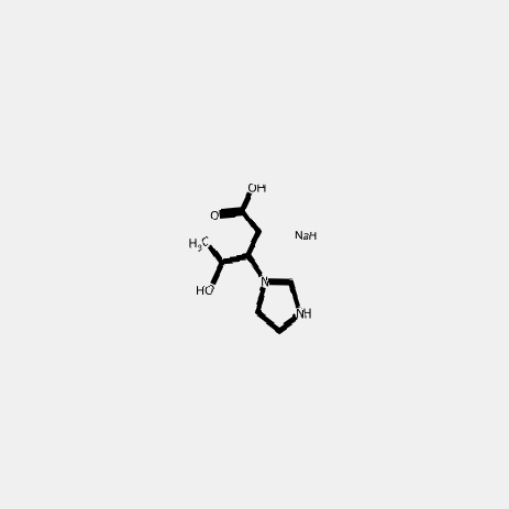 CC(O)C(CC(=O)O)N1CCNC1.[NaH]